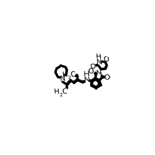 C=C/C(=C\C=C(/C=C)CN1CCCCCCC1)CNc1cccc2c1C(=O)N([C@H]1CCC(=O)NC1=O)C2=O